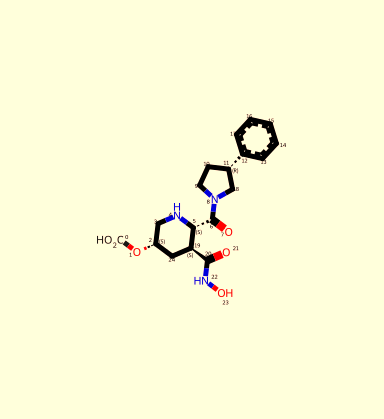 O=C(O)O[C@@H]1CN[C@H](C(=O)N2CC[C@H](c3ccccc3)C2)[C@@H](C(=O)NO)C1